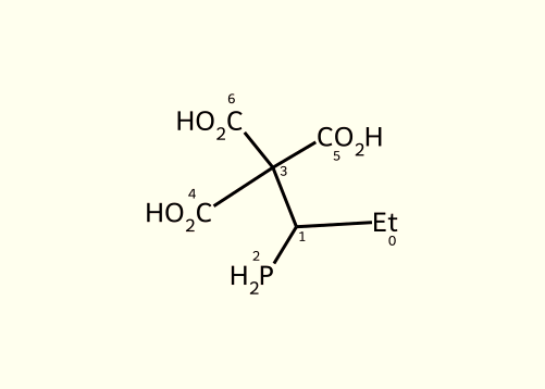 CCC(P)C(C(=O)O)(C(=O)O)C(=O)O